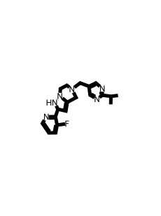 CC(C)c1ncc(CN2CCN3NC(c4ncccc4F)C=C3C2)cn1